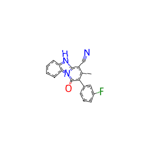 Cc1c(-c2cccc(F)c2)c(=O)n2c([nH]c3ccccc32)c1C#N